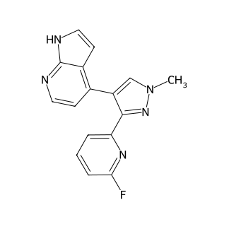 Cn1cc(-c2ccnc3[nH]ccc23)c(-c2cccc(F)n2)n1